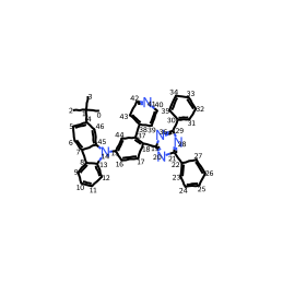 CC(C)(C)c1ccc2c3ccccc3n(-c3ccc(-c4nc(-c5ccccc5)nc(-c5ccccc5)n4)c(-c4ccncc4)c3)c2c1